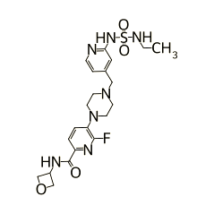 CCNS(=O)(=O)Nc1cc(CN2CCN(c3ccc(C(=O)NC4COC4)nc3F)CC2)ccn1